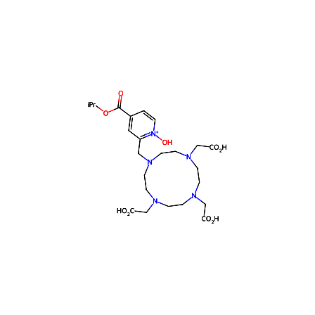 CC(C)OC(=O)c1cc[n+](O)c(CN2CCN(CC(=O)O)CCN(CC(=O)O)CCN(CC(=O)O)CC2)c1